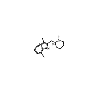 Cc1cccn2c(C)c(C[C@@H]3CCCCN3)nc12